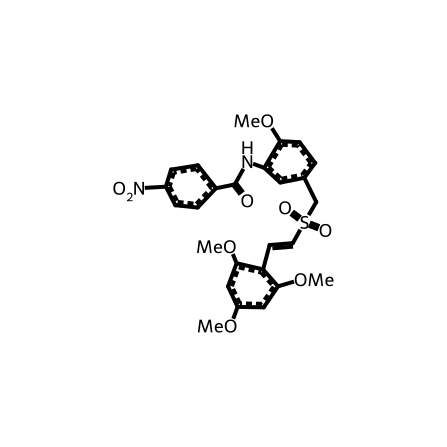 COc1cc(OC)c(C=CS(=O)(=O)Cc2ccc(OC)c(NC(=O)c3ccc([N+](=O)[O-])cc3)c2)c(OC)c1